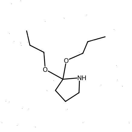 CCCOC1(OCCC)CCCN1